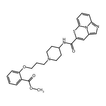 COC(=O)c1ccccc1OCCCN1CCC(NC(=O)C2=Cc3cnc4cccc(n34)S2)CC1